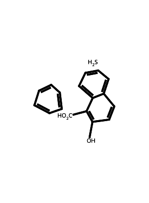 O=C(O)c1c(O)ccc2ccccc12.S.c1ccccc1